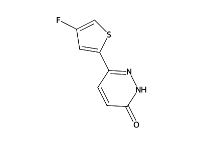 O=c1ccc(-c2cc(F)cs2)n[nH]1